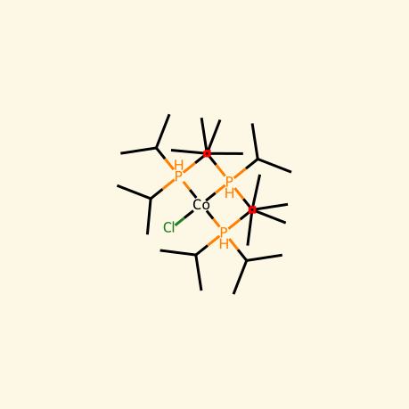 CC(C)[PH](C(C)C)(C(C)C)[Co]([Cl])([PH](C(C)C)(C(C)C)C(C)C)[PH](C(C)C)(C(C)C)C(C)C